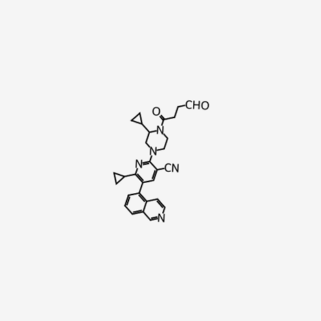 N#Cc1cc(-c2cccc3cnccc23)c(C2CC2)nc1N1CCN(C(=O)CCC=O)C(C2CC2)C1